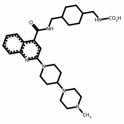 CN1CCN(C2CCN(c3cc(C(=O)NCC4CCC(CNC(=O)O)CC4)c4ccccc4n3)CC2)CC1